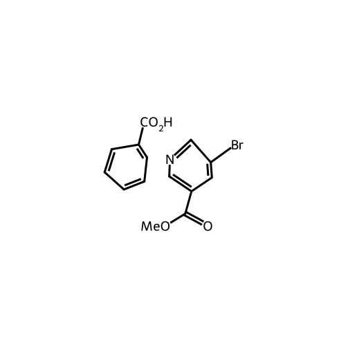 COC(=O)c1cncc(Br)c1.O=C(O)c1ccccc1